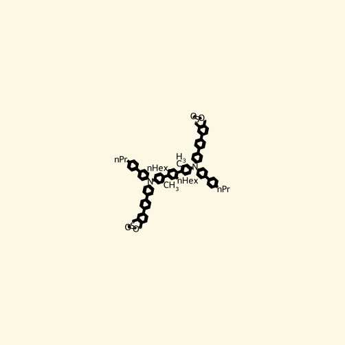 CCCCCCc1cc(-c2ccc(N(c3ccc(-c4ccc(CCC)cc4)cc3)c3ccc(-c4ccc(-c5ccc6c(c5)CS(=O)OC6)cc4)cc3)cc2C)c(CCCCCC)cc1-c1ccc(N(c2ccc(-c3ccc(CCC)cc3)cc2)c2ccc(-c3ccc(-c4ccc5c(c4)CS(=O)OC5)cc3)cc2)cc1C